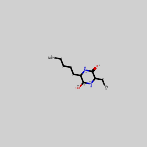 CNCCCCC1NC(=O)C(CC(C)C)NC1O